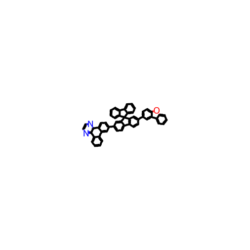 c1ccc2c(c1)-c1ccccc1C21c2cc(-c3ccc4oc5ccccc5c4c3)ccc2-c2ccc(-c3ccc4c(c3)c3ccccc3c3nccnc43)cc21